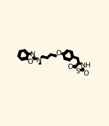 CN(CCCCOc1ccc(CC2NC(=O)SC2=O)cc1)c1nc2ccccc2o1